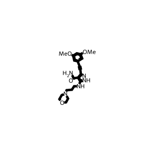 COc1cc(C#Cc2n[nH]c(NCCCN3CCOCC3)c2C(N)=O)cc(OC)c1